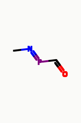 CN=PC=O